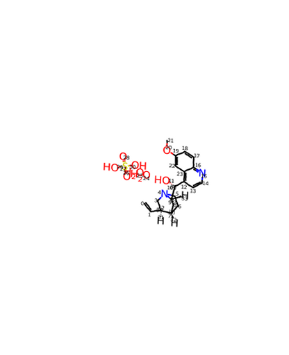 C=C[C@H]1CN2CC[C@H]1C[C@H]2[C@H](O)c1ccnc2ccc(OC)cc12.O.O.O=S(=O)(O)O